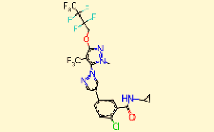 Cn1nc(OCC(F)(F)C(F)(F)C(F)(F)F)c(C(F)(F)F)c1-n1cc(-c2ccc(Cl)c(C(=O)NC3CC3)c2)cn1